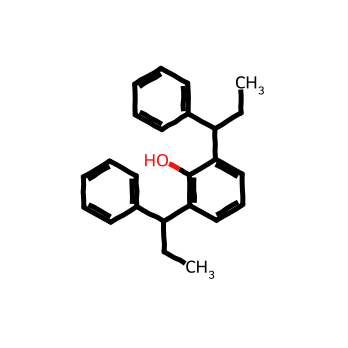 CCC(c1ccccc1)c1cccc(C(CC)c2ccccc2)c1O